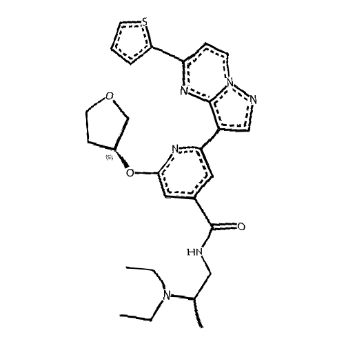 CCN(CC)C(C)CNC(=O)c1cc(O[C@H]2CCOC2)nc(-c2cnn3ccc(-c4cccs4)nc23)c1